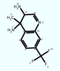 CC1(N)c2ccc(C(F)(F)F)cc2N=CC1N